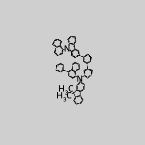 CC1(C)c2ccccc2-c2ccc(N(c3cccc(-c4cccc(-c5ccc6c(c5)c5ccccc5n6-c5cccc6ccccc56)c4)c3)c3ccc(-c4ccccc4)c4ccccc34)cc21